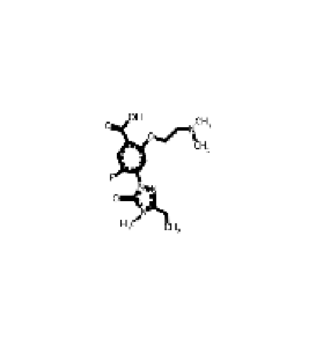 CCc1nn(-c2cc(OCCN(C)C)c(C(=O)O)cc2F)c(=O)n1C